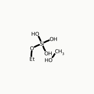 CCO[Si](O)(O)O.CO